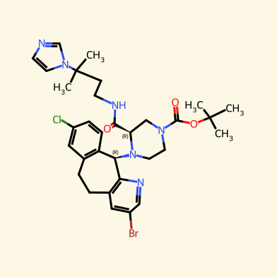 CC(C)(C)OC(=O)N1CCN([C@@H]2c3ccc(Cl)cc3CCc3cc(Br)cnc32)[C@@H](C(=O)NCCC(C)(C)n2ccnc2)C1